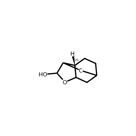 OC1OC2CC3CC[C@H]2C1C3